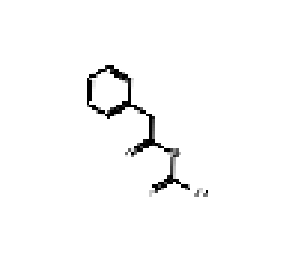 CC(C)(C)C(=S)NC(=O)Cc1ccccc1